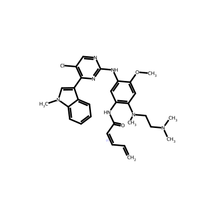 C=C/C=C\C(=O)Nc1cc(Nc2ncc(Cl)c(-c3cn(C)c4ccccc34)n2)c(OC)cc1N(C)CCN(C)C